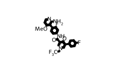 COc1ccnc(N)c1-c1ccc(NC(=O)c2cn(CC(F)(F)F)cc(-c3ccc(F)cc3)c2=O)cc1F